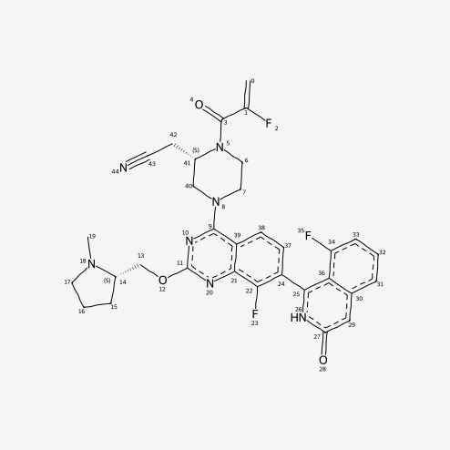 C=C(F)C(=O)N1CCN(c2nc(OC[C@@H]3CCCN3C)nc3c(F)c(-c4[nH]c(=O)cc5cccc(F)c45)ccc23)C[C@@H]1CC#N